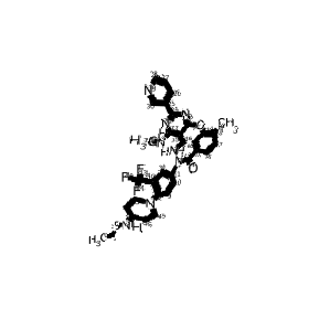 CCSNC1CCN(c2ccc(NC(=O)c3ccc(C)c(Oc4nc(-c5cccnc5)nc(NC)c4C=N)c3)cc2C(F)(F)F)CC1